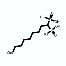 CCCCCCCCCCCCCCCCCC(P(=O)(O)O)P(=O)(O)O